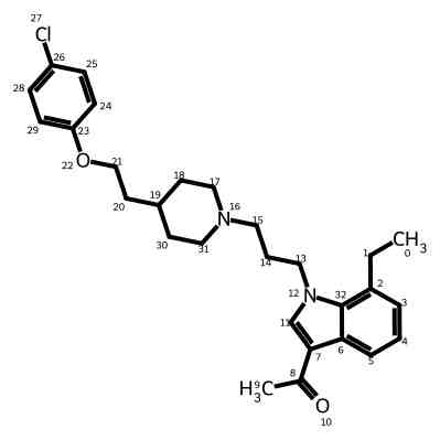 CCc1cccc2c(C(C)=O)cn(CCCN3CCC(CCOc4ccc(Cl)cc4)CC3)c12